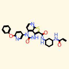 C=CC(=O)N[C@H]1CCCC(NC(=O)c2sc3nccc4c3c2NC(=O)N4c2ccc(Oc3ccccc3)nc2)C1